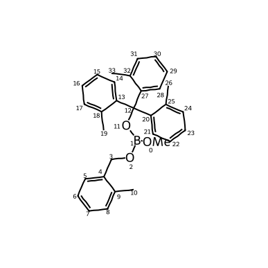 COB(OCc1ccccc1C)OC(c1ccccc1C)(c1ccccc1C)c1ccccc1C